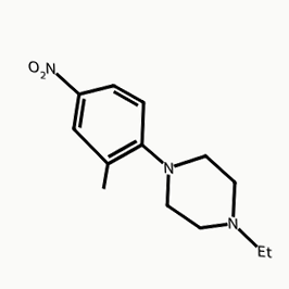 CCN1CCN(c2ccc([N+](=O)[O-])cc2C)CC1